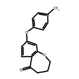 O=C1CCCOc2cc(Oc3ccc(C(F)(F)F)cc3)ccc21